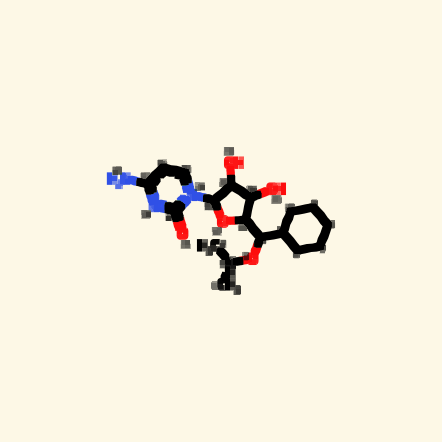 C[SiH](C)OC(C1CCCCC1)C1OC(n2ccc(N)nc2=O)C(O)C1O